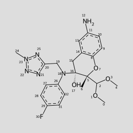 COC(OC)[C@@]1(C)Oc2ccc(N)cc2C[C@]1(O)N(Cc1nnn(C)n1)c1ccc(F)cc1